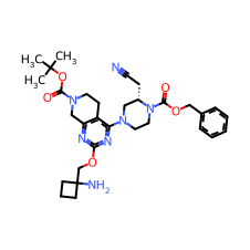 CC(C)(C)OC(=O)N1CCc2c(nc(OCC3(N)CCC3)nc2N2CCN(C(=O)OCc3ccccc3)[C@@H](CC#N)C2)C1